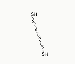 SCCSCCCSCCSCCCSCCS